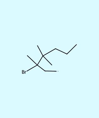 [CH2]CC(C)(Br)C(C)(C)CCC